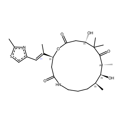 C/C(=C\c1csc(C)n1)[C@@H]1CC(=O)NCCC[C@H](C)[C@H](O)[C@@H](C)C(=O)C(C)(C)[C@@H](O)CC(=O)O1